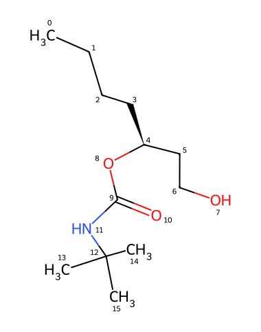 CCCC[C@@H](CCO)OC(=O)NC(C)(C)C